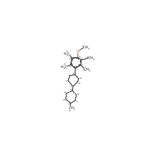 CSc1c(C)c(C)c(C2CCC(C3CCC(C)CC3)CC2)c(C)c1C